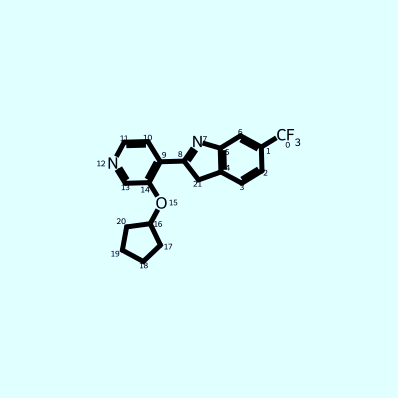 FC(F)(F)c1ccc2c(c1)N=C(c1ccncc1OC1CCCC1)C2